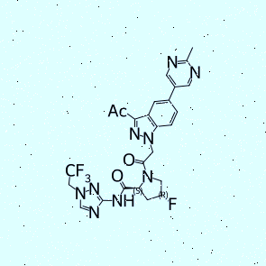 CC(=O)c1nn(CC(=O)N2C[C@H](F)C[C@H]2C(=O)Nc2ncn(CC(F)(F)F)n2)c2ccc(-c3cnc(C)nc3)cc12